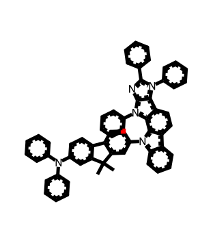 CC1(C)c2cc(N(c3ccccc3)c3ccccc3)ccc2-c2ccc(-n3c4ccccc4c4ccc5c6c(nc(-c7ccccc7)n6-c6ccccc6)n(-c6ccccc6)c5c43)cc21